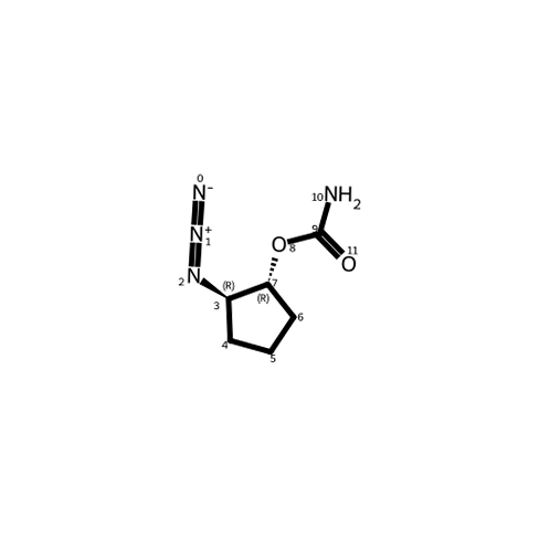 [N-]=[N+]=N[C@@H]1CCC[C@H]1OC(N)=O